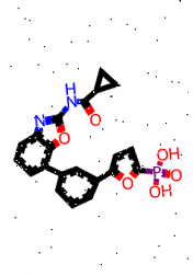 O=C(Nc1nc2cccc(-c3cccc(-c4ccc(P(=O)(O)O)o4)c3)c2o1)C1CC1